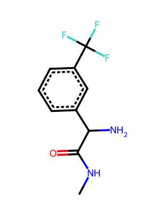 CNC(=O)C(N)c1cccc(C(F)(F)F)c1